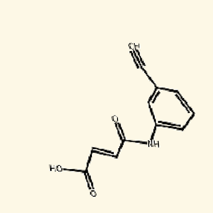 C#Cc1cccc(NC(=O)/C=C/C(=O)O)c1